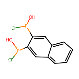 OP(Cl)c1cc2ccccc2cc1P(O)Cl